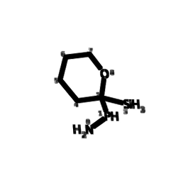 NPC1([SiH3])CCCCO1